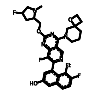 CCc1c(F)ccc2cc(O)cc(-c3ncc4c(N5CCCC6(CCO6)C5)nc(OCC5CC(F)CN5C)nc4c3F)c12